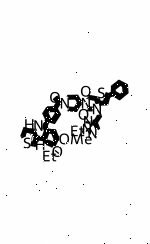 CCOc1cc2c(cc1OC)C(c1ccc(C(=O)N3CCC(n4c(=O)c5sc(-c6ccccc6)cc5n(Cc5cnn(CC)n5)c4=O)CC3)cc1)=N[C@@H]1CCSC[C@H]21